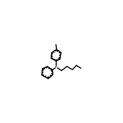 CCCCCP(c1ccccc1)c1ccc(C)cc1